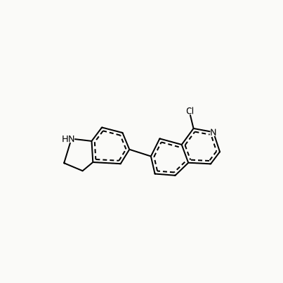 Clc1nccc2ccc(-c3ccc4c(c3)CCN4)cc12